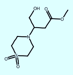 COC(=O)CC(CO)N1CCS(=O)(=O)CC1